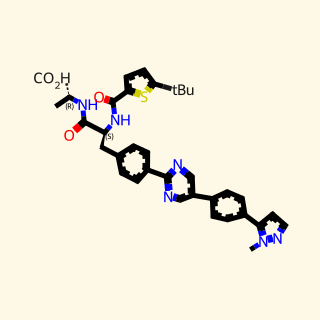 C[C@@H](NC(=O)[C@H](Cc1ccc(-c2ncc(-c3ccc(-c4ccnn4C)cc3)cn2)cc1)NC(=O)c1ccc(C(C)(C)C)s1)C(=O)O